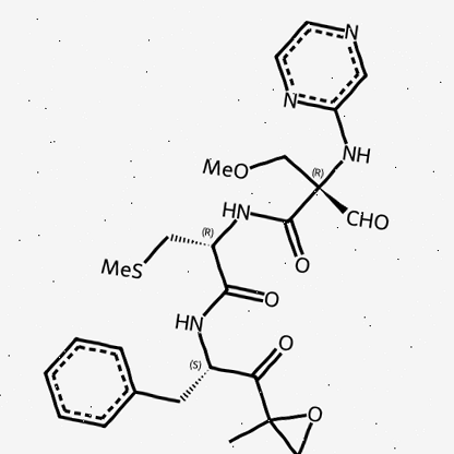 COC[C@](C=O)(Nc1cnccn1)C(=O)N[C@@H](CSC)C(=O)N[C@@H](Cc1ccccc1)C(=O)C1(C)CO1